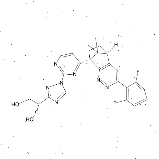 CC1(C)[C@H]2CC[C@]1(c1ccnc(-n3cnc(C(CO)CO)n3)n1)c1nnc(-c3c(F)cccc3F)cc12